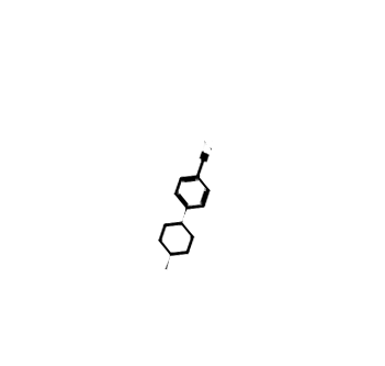 C[C@H]1CC[C@@H](c2ccc(C#N)cc2)CC1